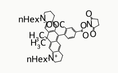 CCCCCCN1CCCc2cc3c(cc21)C(C)(C)c1cc2c(cc1=C3c1ccc(C(=O)ON3C(=O)CCC3=O)cc1C(=O)[O-])CCC[N+]=2CCCCCC